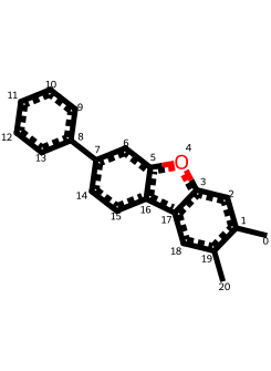 Cc1cc2oc3cc(-c4ccccc4)ccc3c2cc1C